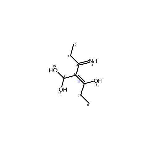 CCC(=N)/C(=C(\O)CC)C(O)O